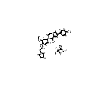 COc1cc(-n2ccn3cc(-c4ccc(Cl)cc4)cc3c2=O)ccc1OCCN1CCCC1.O=C(O)C(F)(F)F